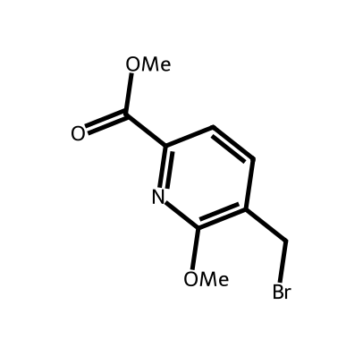 COC(=O)c1ccc(CBr)c(OC)n1